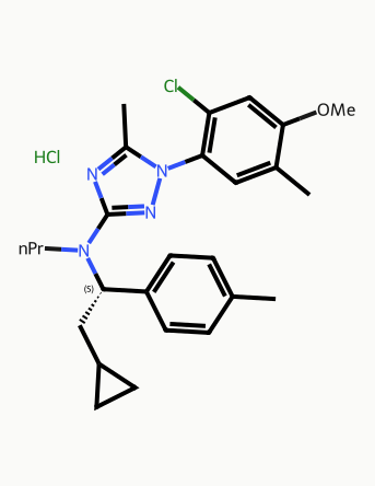 CCCN(c1nc(C)n(-c2cc(C)c(OC)cc2Cl)n1)[C@@H](CC1CC1)c1ccc(C)cc1.Cl